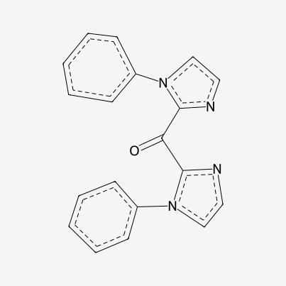 O=C(c1nccn1-c1ccccc1)c1nccn1-c1ccccc1